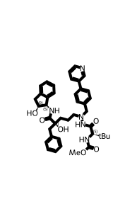 COC(=O)N[C@H](C(=O)NN(CCC[C@@](O)(Cc1ccccc1)C(=O)N[C@H]1c2ccccc2C[C@H]1O)Cc1ccc(-c2cccnc2)cc1)C(C)(C)C